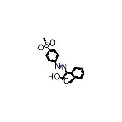 CS(=O)(=O)c1ccc(/N=N/c2c(O)ccc3ccccc23)cc1